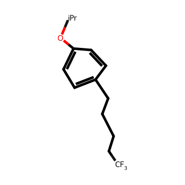 CC(C)Oc1ccc(CCCCC(F)(F)F)cc1